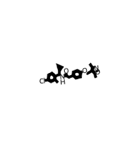 Cc1cc(Cl)ccc1C(NC(=O)Cc1ccc(OCc2c(C)noc2C)cc1)C1CC1